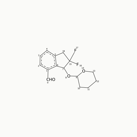 O=Cc1cccc2c1C(OC1CCCCO1)C(F)(F)C2